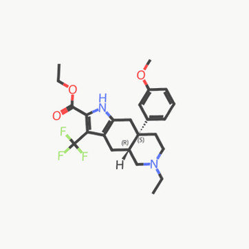 CCOC(=O)c1[nH]c2c(c1C(F)(F)F)C[C@H]1CN(CC)CC[C@]1(c1cccc(OC)c1)C2